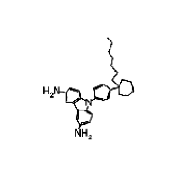 CCCCCCCC1(c2ccc(-n3c4ccc(N)cc4c4cc(N)ccc43)cc2)CCCCC1